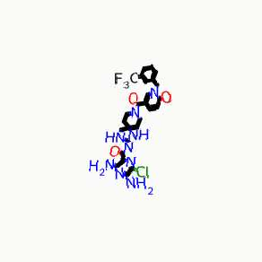 Nc1nc(N)c(C(=O)/N=C2\NCC3(CCN(C(=O)c4ccc(=O)n(Cc5cccc(C(F)(F)F)c5)c4)CC3)N2)nc1Cl